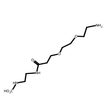 NCCOCCOCCC(=O)NCCNC(=O)O